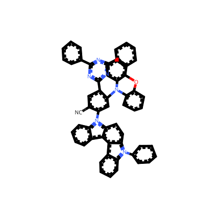 N#Cc1cc(-c2nc(-c3ccccc3)nc(-c3ccccc3)n2)c(N2c3ccccc3Oc3ccccc32)cc1-n1c2ccccc2c2c3c4ccccc4n(-c4ccccc4)c3ccc21